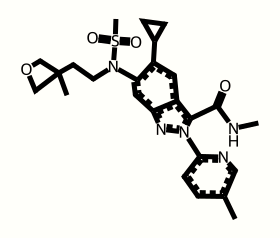 CNC(=O)c1c2cc(C3CC3)c(N(CCC3(C)COC3)S(C)(=O)=O)cc2nn1-c1ccc(C)cn1